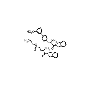 C=CCOC(=O)CC[C@@H](N)C(=O)N1Cc2ccccc2C1.N[C@H](Cc1ccc(-c2cccc(C(=O)O)c2)cc1)C(=O)N1Cc2ccccc2C1